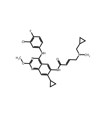 COc1nc(Nc2ccc(F)c(Cl)c2)c2cc(NC(=O)C=CCN(C)CC3CC3)c(C3CC3)cc2n1